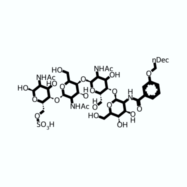 CCCCCCCCCCCOc1cccc(C(=O)NC2[C@H](O[C@H]3C(O)C(NC(C)=O)[C@H](O[C@@H]4C(CO)O[C@@H](O[C@H]5C(O)C(NC(C)=O)[C@H](O)O[C@H]5COS(=O)(=O)O)C(NC(C)=O)[C@H]4O)O[C@H]3CO)OC(CO)[C@@H](O)[C@@H]2O)c1